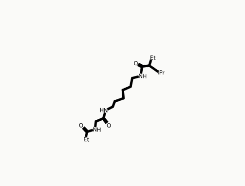 CCC(=O)NCC(=O)NCCCCCCNC(=O)C(CC)C(C)C